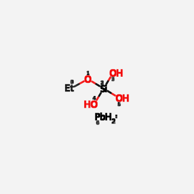 CCO[Si](O)(O)O.[PbH2]